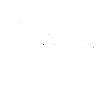 c1ccc(-c2nc(-c3ccc4oc5ccccc5c4c3)nc(-c3ccc4c(oc5ccccc54)c3-c3ccc4c(c3)sc3c(-c5ccccc5)ncnc34)n2)cc1